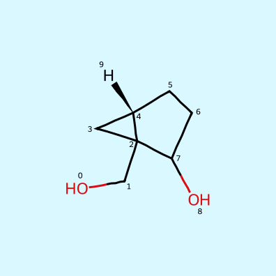 OCC12C[C@@H]1CCC2O